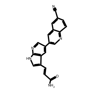 N#Cc1ccc2ncc(-c3cnc4[nH]cc(C=CC(N)=O)c4c3)cc2c1